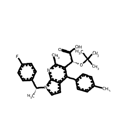 Cc1ccc(-c2c([C@@H](OC(C)(C)C)C(=O)O)c(C)nc3c2ccn3[C@H](C)c2ccc(F)cc2)cc1